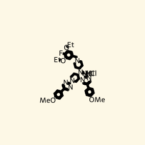 CCOc1cc(CN2CCC(N(Nc3ncc(-c4ccc(OC)cc4)cn3)C3CCN(c4ncc(-c5ccc(OC)cc5)cn4)CC3)CC2)cc(OCC)c1F.Cl.Cl